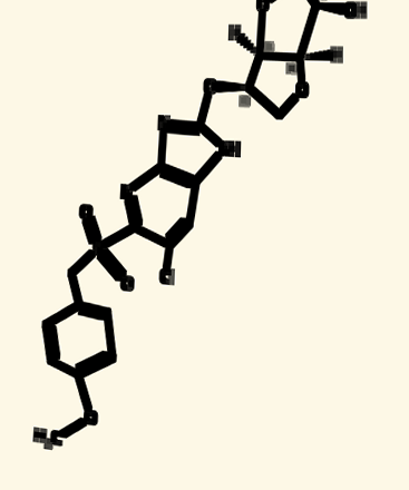 COc1ccc(CS(=O)(=O)c2nc3nc(O[C@@H]4CO[C@H]5[C@@H]4OC[C@H]5O)[nH]c3cc2Cl)cc1